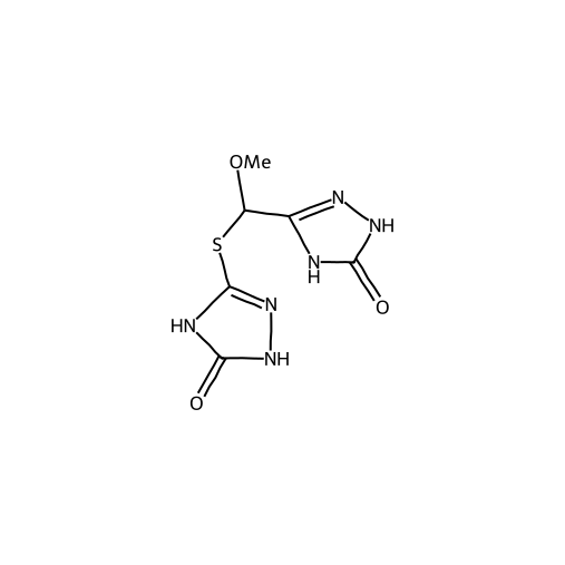 COC(Sc1n[nH]c(=O)[nH]1)c1n[nH]c(=O)[nH]1